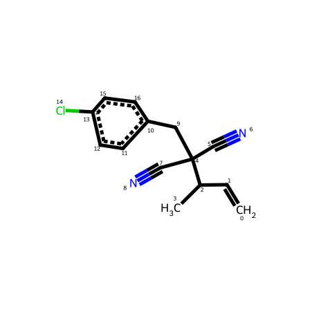 C=CC(C)C(C#N)(C#N)Cc1ccc(Cl)cc1